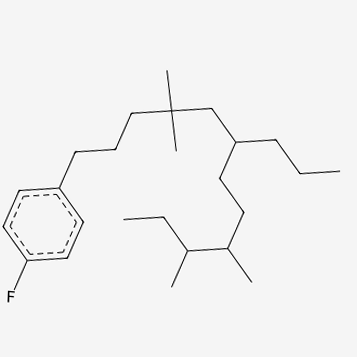 CCCC(CCC(C)C(C)CC)CC(C)(C)CCCc1ccc(F)cc1